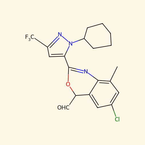 Cc1cc(Cl)cc2c1N=C(c1cc(C(F)(F)F)nn1C1CCCCC1)OC2C=O